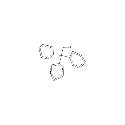 FCC(c1ccccc1)(c1ccccc1)c1ccccc1